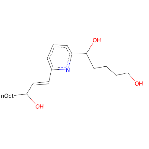 CCCCCCCCC(O)C=Cc1cccc(C(O)CCCCO)n1